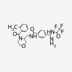 Cc1ccccc1C(=O)N1CCOCC1CNC(=O)c1ccc(C(N)NC(=O)C(F)(F)F)cc1